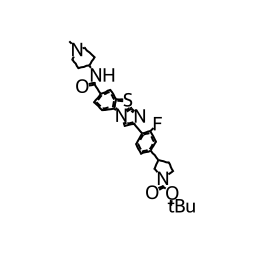 CN1CCC(NC(=O)c2ccc3c(c2)sc2nc(-c4ccc(C5CCN(C(=O)OC(C)(C)C)C5)cc4F)cn23)CC1